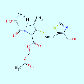 CC(=O)OCOC(=O)C1=C(S/C=C\c2scnc2CO)[C@H](C)[C@@H]2[C@@H]([C@@H](C)O)C(=O)N12